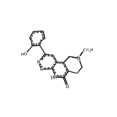 O=C(O)N1CCc2c(c3cc(-c4ccccc4O)nnc3[nH]c2=O)C1